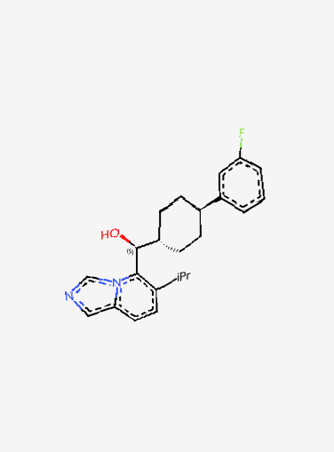 CC(C)c1ccc2cncn2c1[C@@H](O)[C@H]1CC[C@H](c2cccc(F)c2)CC1